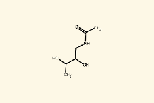 [CH2]C(O)C(O)CNC(C)=O